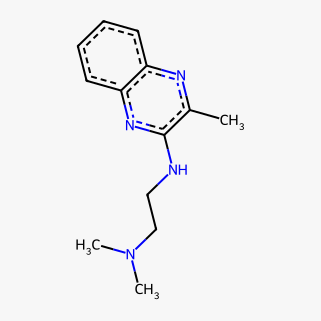 Cc1nc2ccccc2nc1NCCN(C)C